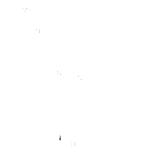 COC(=O)N1CCc2ccc3c(nc([C@H]4CC[C@H](C(=O)O)CC4)n3[C@H]3CCc4ccccc4C3)c2C1